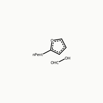 CCCCCc1ccco1.O=CO